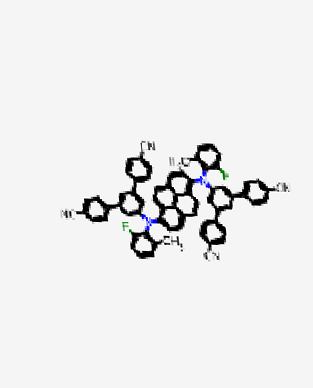 Cc1cccc(F)c1N(c1cc(-c2ccc(C#N)cc2)cc(-c2ccc(C#N)cc2)c1)c1ccc2ccc3c(N(c4cc(-c5ccc(C#N)cc5)cc(-c5ccc(C#N)cc5)c4)c4c(C)cccc4F)ccc4ccc1c2c43